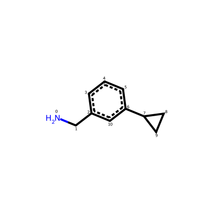 NCc1c[c]cc(C2CC2)c1